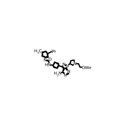 COCCN1CCC(n2nc(-c3ccc(Nc4nc5cc(C)cc(C(C)C)c5o4)cc3)c3c(N)ncnc32)C1